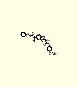 COc1ccc(CC(=O)Nc2nc3ccc(NC(=O)NCc4ccccc4)cc3s2)cc1